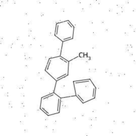 Cc1cc(-c2ccccc2-c2ccccc2)ccc1-c1ccccc1